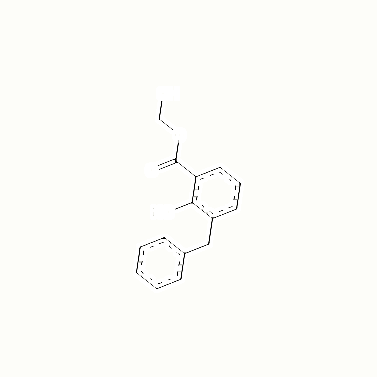 O=C(OCO)c1cccc(Cc2ccccc2)c1O